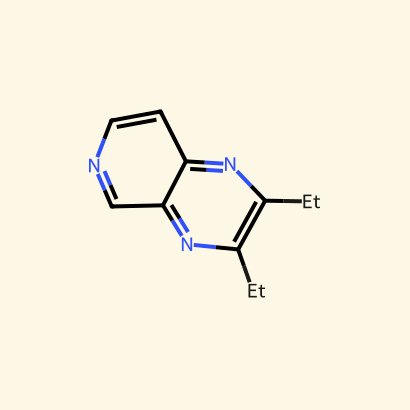 CCc1nc2ccncc2nc1CC